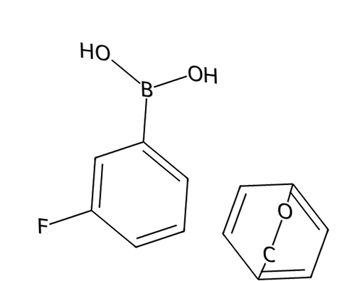 OB(O)c1cccc(F)c1.c1cc2ccc1CO2